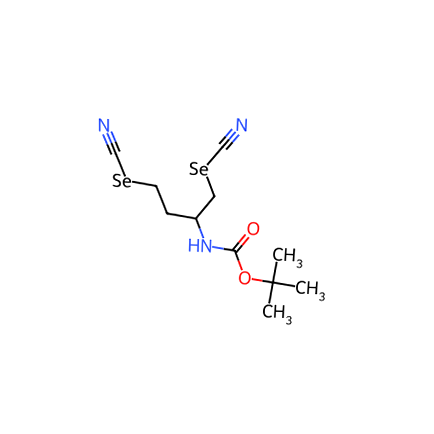 CC(C)(C)OC(=O)NC(CC[Se]C#N)C[Se]C#N